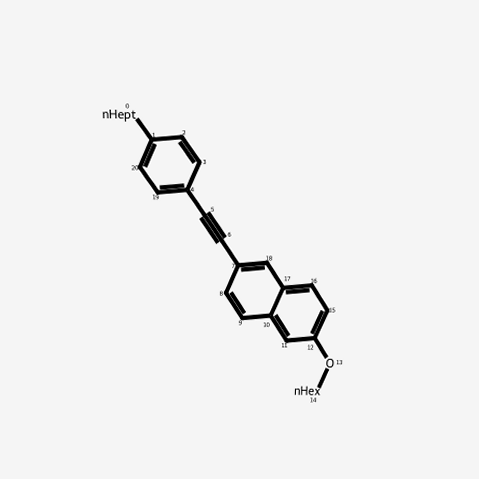 CCCCCCCc1ccc(C#Cc2ccc3cc(OCCCCCC)ccc3c2)cc1